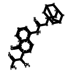 CC(C(N)=O)n1ccc2c(NC(=O)CC34CC5CC(CC(C5)C3)C4)cccc2c1=O